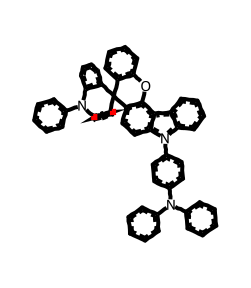 c1ccc(N(c2ccccc2)c2ccc(-n3c4ccccc4c4c5c(ccc43)C3(c4ccccc4O5)c4ccccc4N(c4ccccc4)c4ccccc43)cc2)cc1